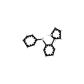 [c]1cccc(Oc2ccccc2)c1-c1cccs1